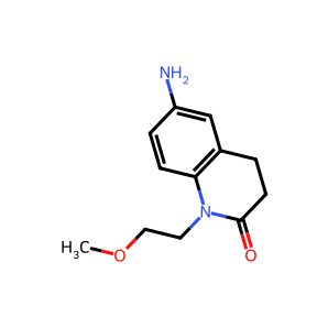 COCCN1C(=O)CCc2cc(N)ccc21